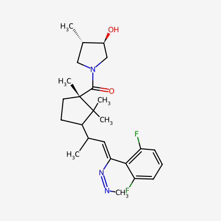 C/N=N\C(=C/C(C)C1CC[C@](C)(C(=O)N2C[C@H](C)[C@@H](O)C2)C1(C)C)c1c(F)cccc1F